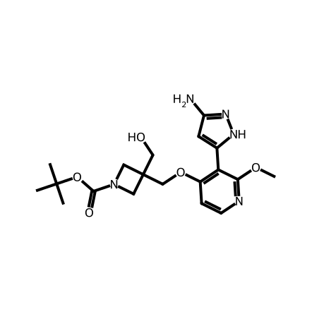 COc1nccc(OCC2(CO)CN(C(=O)OC(C)(C)C)C2)c1-c1cc(N)n[nH]1